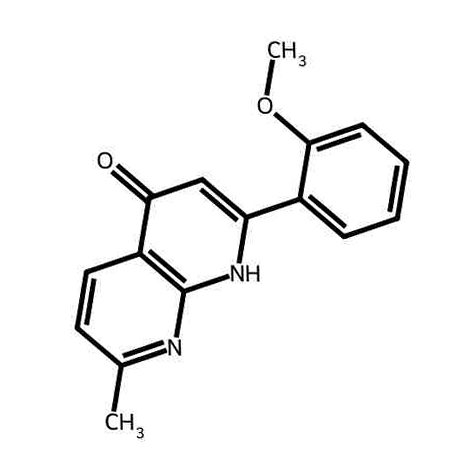 COc1ccccc1-c1cc(=O)c2ccc(C)nc2[nH]1